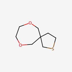 C1COCC2(CCSC2)CO1